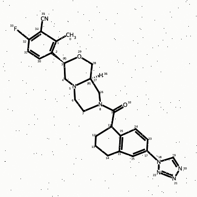 Cc1c([C@@H]2CN3CCN(C(=O)C4CCCc5cc(-n6cnnn6)ccc54)C[C@@H]3CO2)ccc(F)c1C#N